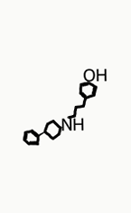 Oc1ccc(CCCCN[C@H]2CC[C@H](c3ccccc3)CC2)cc1